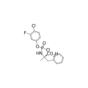 C[C@@](Cc1ccccc1)(NP(=O)(Cl)Oc1ccc(Cl)c(F)c1)C(=O)O